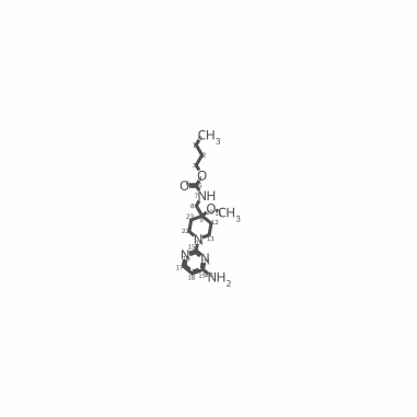 CCCCOC(=O)NCC1(OC)CCN(c2nccc(N)n2)CC1